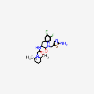 CC1CCC[C@H](C)N1CC(=O)NC(Cc1ccc(F)c(F)c1)C(=O)NCc1cnc(N)s1